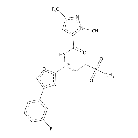 Cn1nc(C(F)(F)F)cc1C(=O)N[C@H](CCS(C)(=O)=O)c1nc(-c2cccc(F)c2)no1